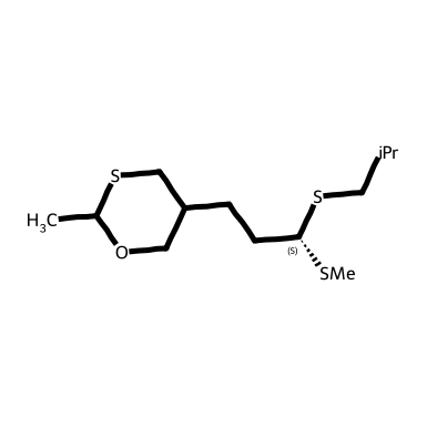 CS[C@H](CCC1COC(C)SC1)SCC(C)C